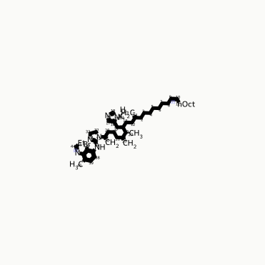 C=C(CCCCCCC/C=C\CCCCCCCC)CCC(Cc1cncn1C)[C@H](C)C(=C)CCCC(=C)N1CCN=C1Nc1ccc(C)c(/N=C\CC)c1Br